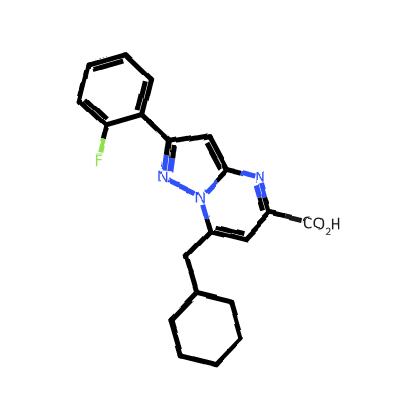 O=C(O)c1cc(CC2CCCCC2)n2nc(-c3ccccc3F)cc2n1